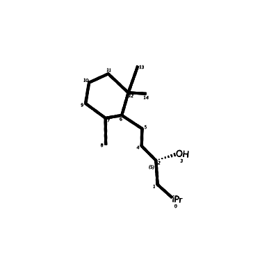 CC(C)C[C@@H](O)CCC1C(C)CCCC1(C)C